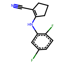 N#CC1=C(Nc2cc(F)ccc2F)CCC1